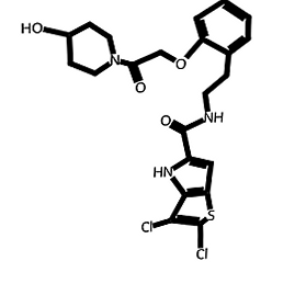 O=C(NCCc1ccccc1OCC(=O)N1CCC(O)CC1)c1cc2sc(Cl)c(Cl)c2[nH]1